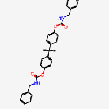 CC(C)(c1ccc(OC(=O)NCc2ccccc2)cc1)c1ccc(OC(=O)NCc2ccccc2)cc1